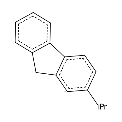 CC(C)c1[c]c2c(cc1)-c1ccccc1C2